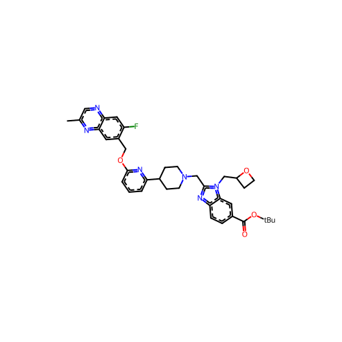 Cc1cnc2cc(F)c(COc3cccc(C4CCN(Cc5nc6ccc(C(=O)OC(C)(C)C)cc6n5CC5CCO5)CC4)n3)cc2n1